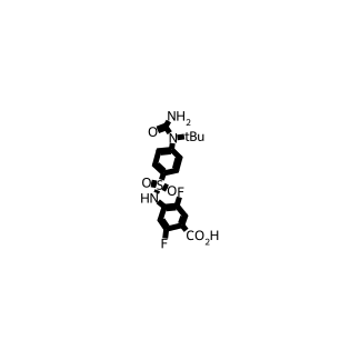 CC(C)(C)N(C(N)=O)c1ccc(S(=O)(=O)Nc2cc(F)c(C(=O)O)cc2F)cc1